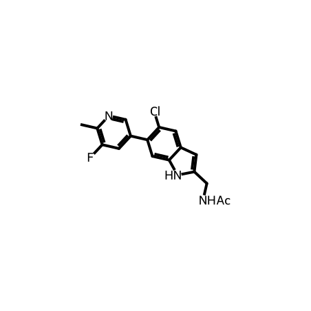 CC(=O)NCc1cc2cc(Cl)c(-c3cnc(C)c(F)c3)cc2[nH]1